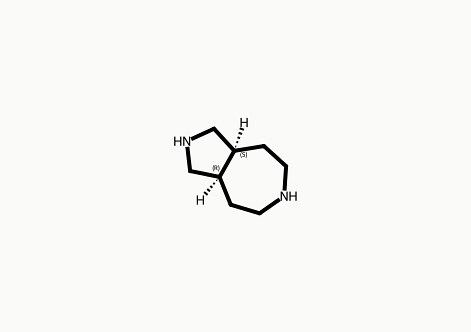 C1C[C@@H]2CNC[C@@H]2CCN1